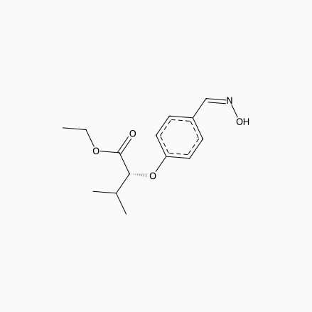 CCOC(=O)[C@H](Oc1ccc(/C=N\O)cc1)C(C)C